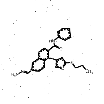 CCCSc1cc(-c2c(C(=O)Nc3ccccc3)ccc3cc(C=NN)ccc23)co1